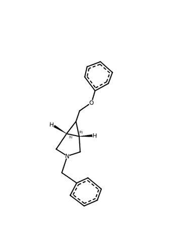 c1ccc(CN2C[C@@H]3C(COc4ccccc4)[C@@H]3C2)cc1